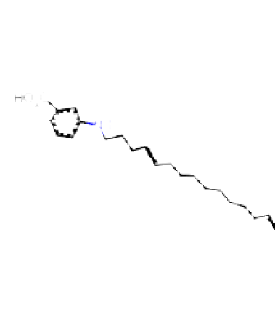 C=CCCCCCCCC/C=C/CCCNc1cccc(C(=O)O)c1